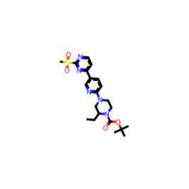 CCC1CN(c2ccc(-c3ccnc(S(C)(=O)=O)n3)cn2)CCN1C(=O)OC(C)(C)C